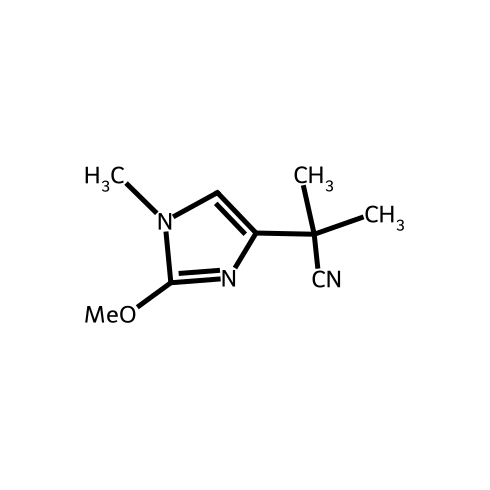 COc1nc(C(C)(C)C#N)cn1C